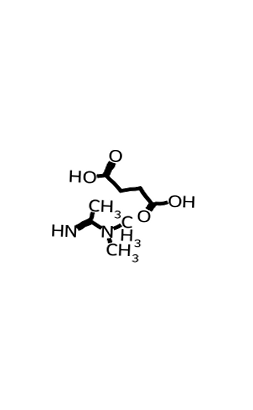 CC(=N)N(C)C.O=C(O)CCC(=O)O